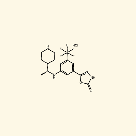 C[C@H](Nc1cc(-c2n[nH]c(=O)o2)cc(S(F)(F)(F)(F)F)c1)C1CCNCC1.Cl